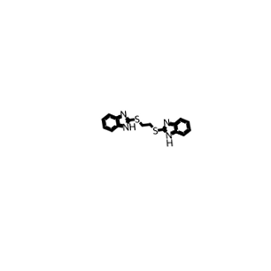 c1ccc2[nH]c(SCCSc3nc4ccccc4[nH]3)nc2c1